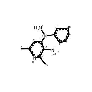 Cc1cc(N(N)c2ccccc2)c(N)c(C)n1